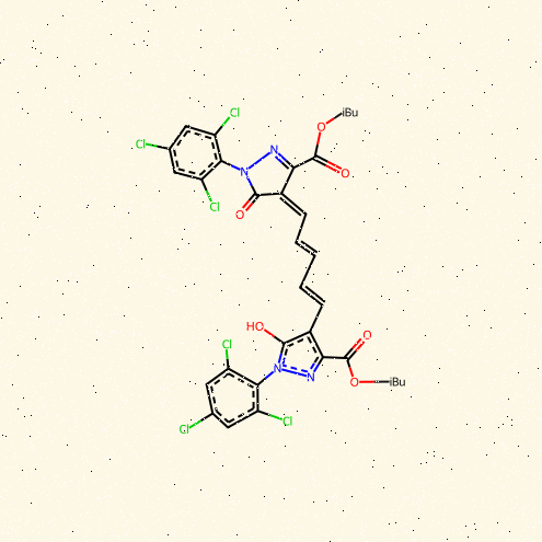 CCC(C)OC(=O)C1=NN(c2c(Cl)cc(Cl)cc2Cl)C(=O)\C1=C/C=C/C=C/c1c(C(=O)OC(C)CC)nn(-c2c(Cl)cc(Cl)cc2Cl)c1O